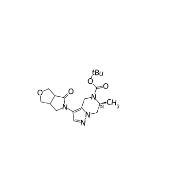 C[C@H]1Cn2ncc(N3CC4COCC4C3=O)c2CN1C(=O)OC(C)(C)C